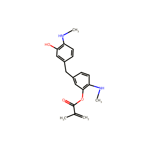 C=C(C)C(=O)Oc1cc(Cc2ccc(NC)c(O)c2)ccc1NC